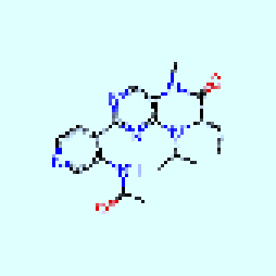 CC[C@@H]1C(=O)N(C)c2cnc(-c3ccncc3NC(C)=O)nc2N1C(C)C